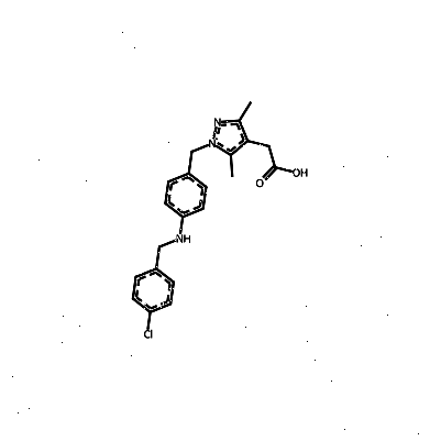 Cc1nn(Cc2ccc(NCc3ccc(Cl)cc3)cc2)c(C)c1CC(=O)O